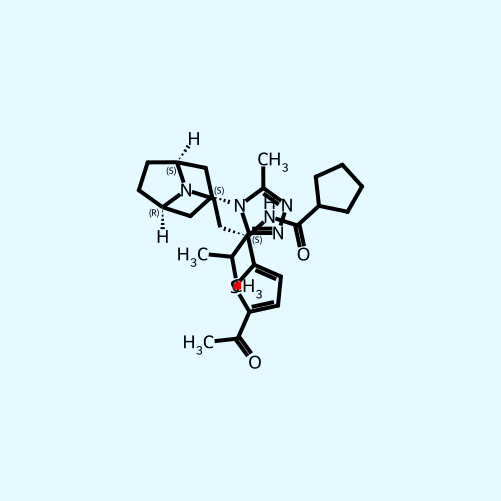 CC(=O)c1ccc([C@H](CCN2[C@@H]3CC[C@H]2C[C@H](n2c(C)nnc2C(C)C)C3)NC(=O)C2CCCC2)s1